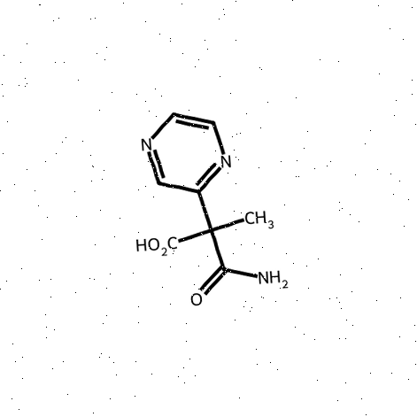 CC(C(N)=O)(C(=O)O)c1cnccn1